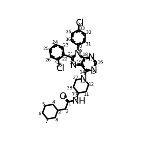 O=C(CC1CCCCC1)NC1CCN(c2ncnc3c2nc(-c2ccccc2Cl)n3-c2ccc(Cl)cc2)CC1